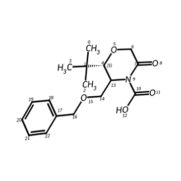 CC(C)(C)[C@@H]1OCC(=O)N(C(=O)O)C1COCc1ccccc1